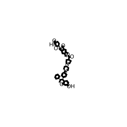 O=C1CCC(N2Cc3cc4c(cc3C2=O)CN(C(=O)C2CCN(C3CCN(c5ccc([C@H]6c7ccc(O)cc7OC[C@H]6c6ccccc6)cc5)CC3)CC2)C4)C(=O)N1